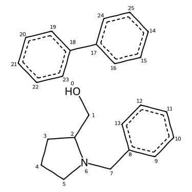 OCC1CCCN1Cc1ccccc1.c1ccc(-c2ccccc2)cc1